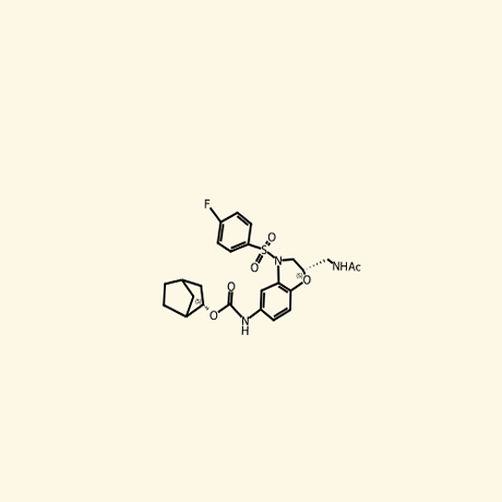 CC(=O)NC[C@H]1CN(S(=O)(=O)c2ccc(F)cc2)c2cc(NC(=O)O[C@H]3CC4CCC3C4)ccc2O1